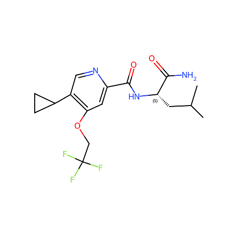 CC(C)C[C@H](NC(=O)c1cc(OCC(F)(F)F)c(C2CC2)cn1)C(N)=O